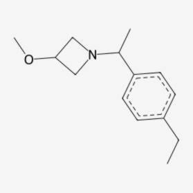 CCc1ccc(C(C)N2CC(OC)C2)cc1